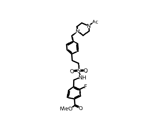 COC(=O)c1ccc(CNS(=O)(=O)CCc2ccc(CN3CCN(C(C)=O)CC3)cc2)c(F)c1